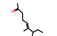 CCC(C)/C(C)=C/CCC(C)=O